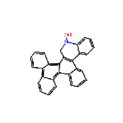 ON1Cc2c(c3ccccc3c3c4ccccc4c4ccccc4c23)-c2ccccc21